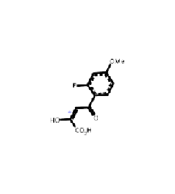 COc1ccc(C(=O)/C=C(/O)C(=O)O)c(F)c1